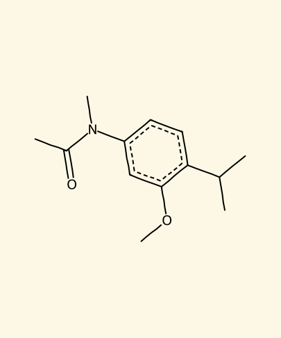 COc1cc(N(C)C(C)=O)ccc1C(C)C